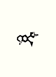 CN1CCCc2cc(-c3cnn(C)c3)c(C3CC3)cc21